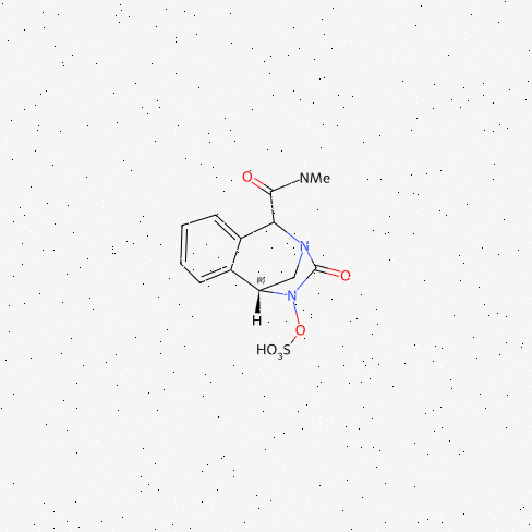 CNC(=O)C1c2ccccc2[C@@H]2CN1C(=O)N2OS(=O)(=O)O